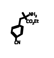 CCOC(=O)C(C)(N)Cc1ccc(C#N)cc1